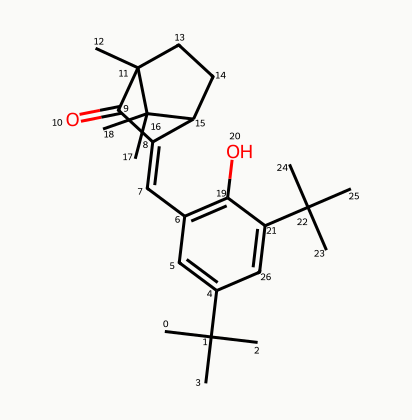 CC(C)(C)c1cc(C=C2C(=O)C3(C)CCC2C3(C)C)c(O)c(C(C)(C)C)c1